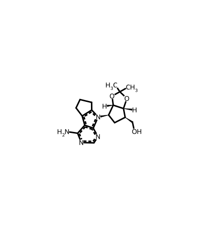 CC1(C)O[C@@H]2[C@@H](CO)C[C@@H](n3c4c(c5c(N)ncnc53)CCC4)[C@@H]2O1